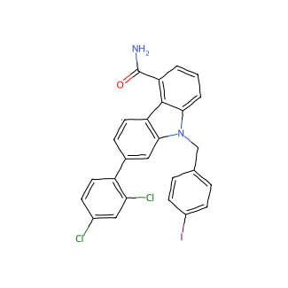 NC(=O)c1cccc2c1c1[c]cc(-c3ccc(Cl)cc3Cl)cc1n2Cc1ccc(I)cc1